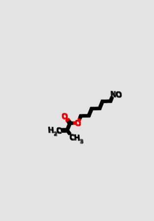 C=C(C)C(=O)OCCCCCCN=O